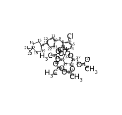 COC1(c2ccc(Cl)c(Cc3ccc(C4CCC5(CC4)CC5)cc3)c2)O[C@H](COC(C)=O)[C@@H](OC(C)=O)[C@H](OC(C)=O)[C@H]1OC(C)=O